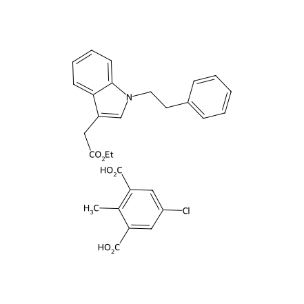 CCOC(=O)Cc1cn(CCc2ccccc2)c2ccccc12.Cc1c(C(=O)O)cc(Cl)cc1C(=O)O